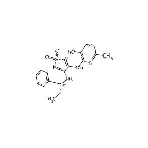 CC[C@@H](NC1=NS(=O)(=O)N=C1Nc1nc(C)ccc1O)c1ccccc1